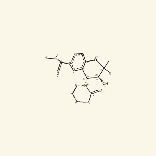 COC(=O)c1ccc2c(c1)[C@@H](N1CCCCC1=O)[C@H](O)C(C)(C)O2